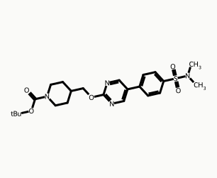 CN(C)S(=O)(=O)c1ccc(-c2cnc(OCC3CCN(C(=O)OC(C)(C)C)CC3)nc2)cc1